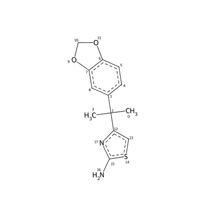 CC(C)(c1ccc2c(c1)OCO2)c1csc(N)n1